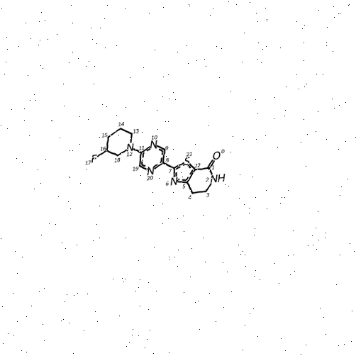 O=C1NCCc2nc(-c3cnc(N4CCCC(F)C4)cn3)sc21